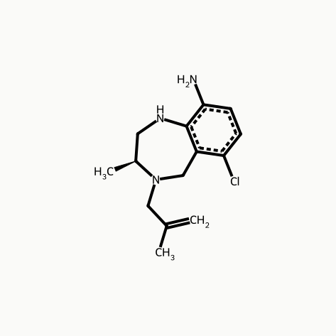 C=C(C)CN1Cc2c(Cl)ccc(N)c2NC[C@@H]1C